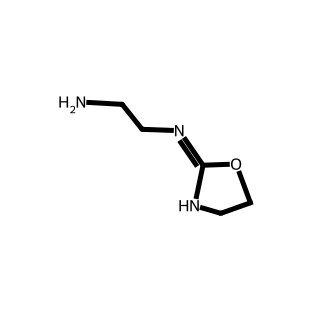 NCC/N=C1\NCCO1